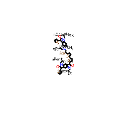 C=c1cc2c(cc1N(CC(CCC)CCCCCCCC)CC(S)c1ccc(-c3ccc(C4=c5cc6c(cc5N(CC(CC)CCCCCC)C4=O)=C(c4cccs4)C(=O)N6CC(CCCCC)CCCCCC)s3)s1)=C(c1cccs1)C(=O)N2CC(CCCCCC)CCCCCCCC